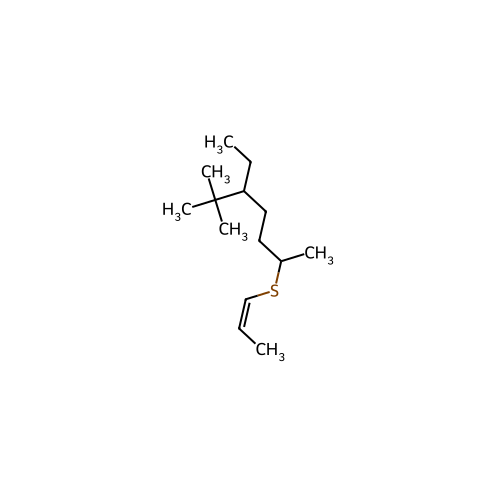 C/C=C\SC(C)CCC(CC)C(C)(C)C